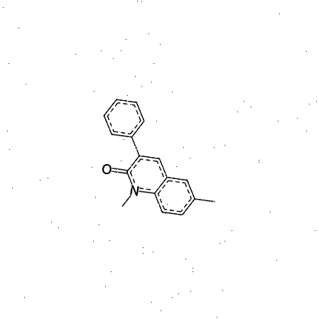 Cc1ccc2c(c1)cc(-c1ccccc1)c(=O)n2C